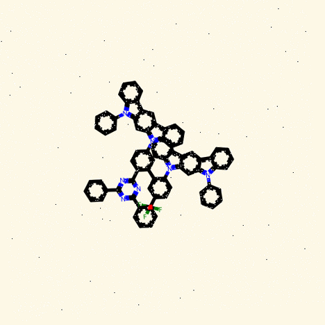 FC(F)(F)c1ccc(-n2c3ccccc3c3cc4c5ccccc5n(-c5ccccc5)c4cc32)c(-c2cc(-n3c4ccccc4c4cc5c6ccccc6n(-c6ccccc6)c5cc43)ccc2-c2nc(-c3ccccc3)nc(-c3ccccc3)n2)c1